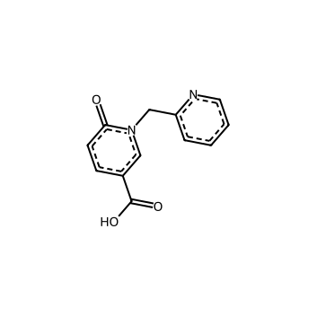 O=C(O)c1ccc(=O)n(Cc2ccccn2)c1